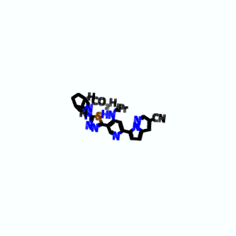 CC(C)Nc1cc(-c2ccc3cc(C#N)cnn23)ncc1-c1nnc(N2CC3CC[C@@H](C2)[C@@H]3NC(=O)O)s1